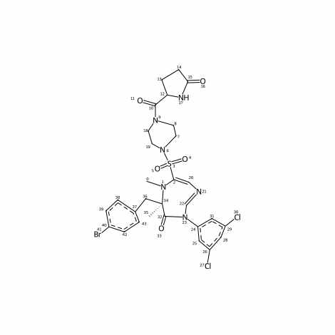 CN1/C(S(=O)(=O)N2CCN(C(=O)C3CCC(=O)N3)CC2)=C\N=C\N(c2cc(Cl)cc(Cl)c2)C(=O)[C@@]1(C)Cc1ccc(Br)cc1